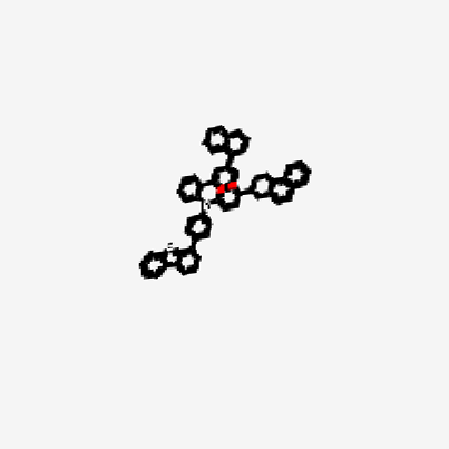 c1cc(-c2ccccc2N(c2ccc(-c3ccc4c(ccc5ccccc54)c3)cc2)c2ccc(-c3cccc4c3sc3ccccc34)cc2)cc(-c2cccc3ccccc23)c1